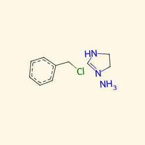 C1=NCCN1.ClCc1ccccc1.N